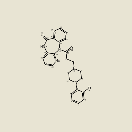 CCc1ccccc1N1CCN(CCC(=O)N2c3ccccc3C(=O)Nc3cccnc32)CC1